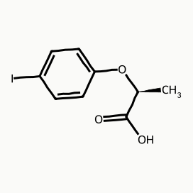 C[C@H](Oc1ccc(I)cc1)C(=O)O